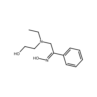 CCN(CCO)CC(=NO)c1ccccc1